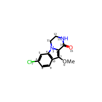 COc1c2n(c3cc(Cl)ccc13)CCNC2=O